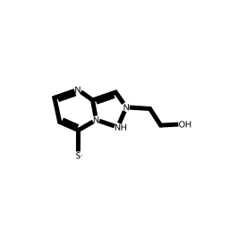 OCCN1C=C2N=CC=C([S])N2N1